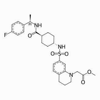 COC(=O)CN1CCCc2ccc(S(=O)(=O)N[C@H]3CC[C@H](C(=O)N[C@H](C)c4ccc(F)cc4)CC3)cc21